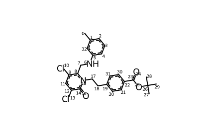 Cc1cccc(NCc2c(Cl)cc(Cl)c(=O)n2CCc2ccc(C(=O)OC(C)(C)C)cc2)c1